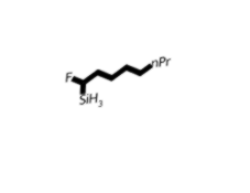 CCCCCCCC(F)[SiH3]